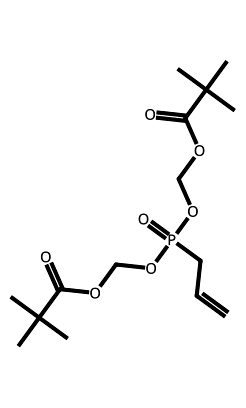 C=CCP(=O)(OCOC(=O)C(C)(C)C)OCOC(=O)C(C)(C)C